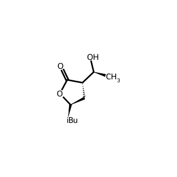 CC[C@H](C)[C@@H]1C[C@@H]([C@H](C)O)C(=O)O1